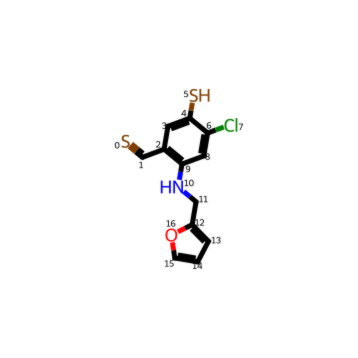 S=Cc1cc(S)c(Cl)cc1NCc1ccco1